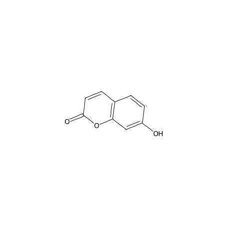 O=c1ccc2c[c]c(O)cc2o1